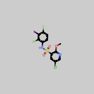 COc1ncc(Cl)cc1S(=O)(=O)Nc1ccc(F)c(I)c1F